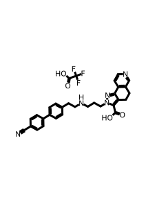 N#Cc1ccc(-c2ccc(CCNCCCn3nc4c(c3C(=O)O)CCc3cnccc3-4)cc2)cc1.O=C(O)C(F)(F)F